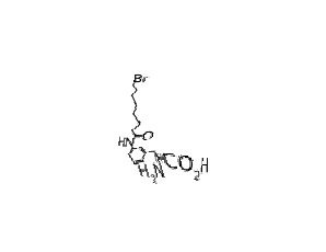 N[C@@H](Cc1cccc(NC(=O)CCCCCCCBr)c1)C(=O)O